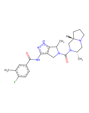 Cc1cc(C(=O)Nc2n[nH]c3c2CN(C(=O)N2C[C@@H]4CCCN4C[C@@H]2C)C3C)ccc1F